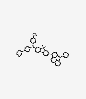 CC1(C)c2cc(-c3ccc4c5c3ccc3cccc(c35)n4-c3ccccc3)ccc2-c2ccc(N(c3ccc(C#N)cc3)c3ccc(-c4cccnc4)cc3)cc21